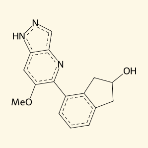 COc1cc2[nH]ncc2nc1-c1cccc2c1CC(O)C2